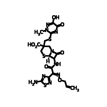 C=CCON=C(C(=O)NC1C(=O)N2CC(CSc3nc(=O)c(O)nn3C)(C(=O)O)CS[C@H]12)c1nsc(N)n1